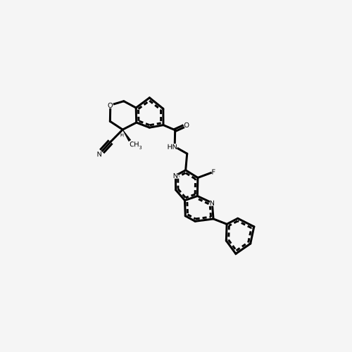 C[C@@]1(C#N)COCc2ccc(C(=O)NCc3ncc4ccc(-c5ccccc5)nc4c3F)cc21